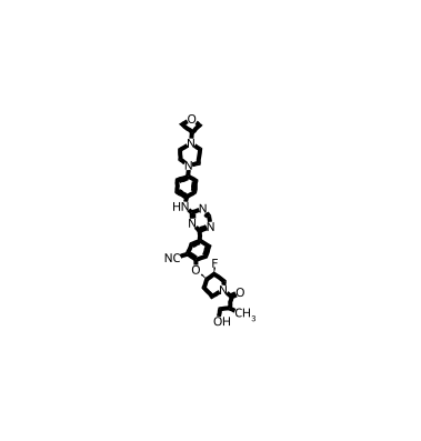 CC(CO)C(=O)N1CC[C@H](Oc2ccc(-c3ncnc(Nc4ccc(N5CCN(C6COC6)CC5)cc4)n3)cc2C#N)[C@H](F)C1